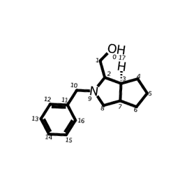 OCC1[C@H]2CCCC2CN1Cc1ccccc1